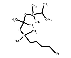 COC(C)[Si](C)(C)OC(C)(C)O[Si](C)(C)CCCCC(C)C